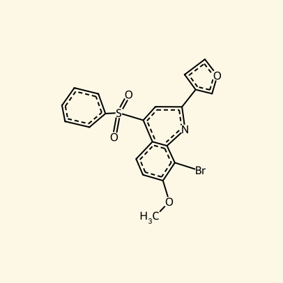 COc1ccc2c(S(=O)(=O)c3ccccc3)cc(-c3ccoc3)nc2c1Br